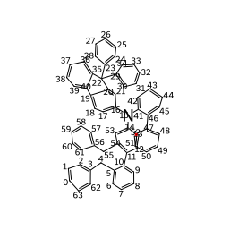 c1ccc(Cc2ccccc2-c2ccc(N(c3ccc4c(c3)C(c3ccccc3)(c3ccccc3)c3ccccc3-4)c3ccccc3-c3ccccc3)cc2Cc2ccccc2)cc1